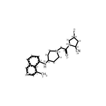 Cc1cncc2cccc(NC3CCN(CC(=O)N4C[C@@H](F)CC4C#N)CC3)c12